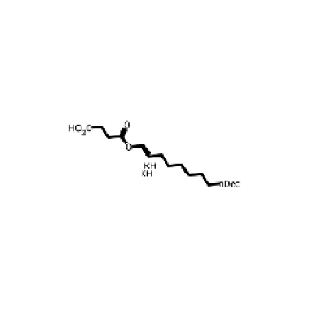 CCCCCCCCCCCCCCCC/C=C/OC(=O)CCC(=O)O.[KH].[KH]